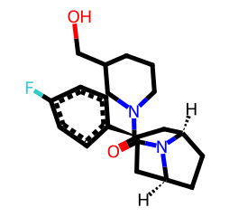 O=C(N1CCCC(CO)C1)N1[C@@H]2CC[C@H]1C[C@@H](c1ccc(F)cc1)C2